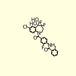 Cc1ccccc1C(=O)Nc1ccc(C(=O)N2CCC(F)(F)[C@](O)(CO)c3cc(Cl)ccc32)cc1F